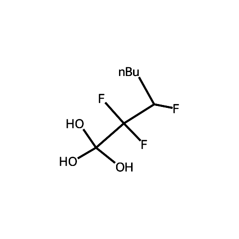 CCCCC(F)C(F)(F)C(O)(O)O